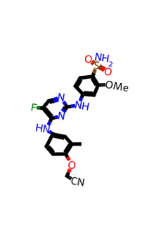 COc1cc(Nc2ncc(F)c(Nc3ccc(OCC#N)c(C)c3)n2)ccc1S(N)(=O)=O